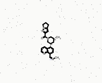 C/N=C\c1ccc([C@H]2C[C@@H](C)CN(C(=O)c3cc4n(n3)CCC4)C2)c2cccnc12